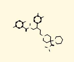 CN(C)C(=O)C1(N2CCCCC2)CCN(CCC(CN(C)C(=O)c2cc(F)ccc2F)c2ccc(Cl)c(Cl)c2)CC1